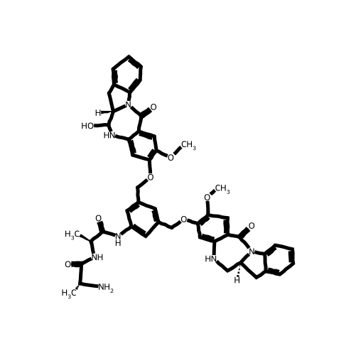 COc1cc2c(cc1OCc1cc(COc3cc4c(cc3OC)C(=O)N3c5ccccc5C[C@H]3C(O)N4)cc(NC(=O)[C@H](C)NC(=O)[C@@H](C)N)c1)NC[C@@H]1Cc3ccccc3N1C2=O